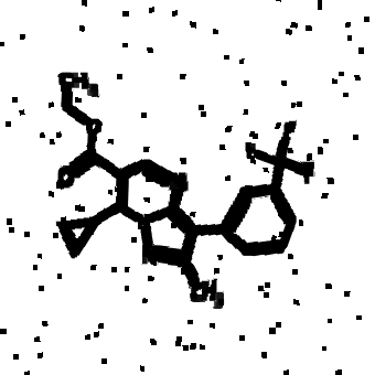 CCOC(=O)c1cnc2c(-c3cccc(C(F)(F)F)c3)c(C)nn2c1C1CC1